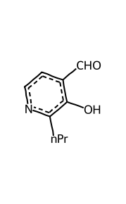 CCCc1nccc(C=O)c1O